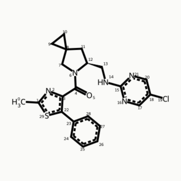 Cc1nc(C(=O)N2CC3(CC3)C[C@H]2CNc2ncc(Cl)cn2)c(-c2ccccc2)s1